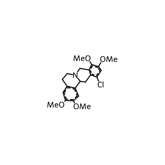 COc1cc2c(cc1OC)C1Cc3c(Cl)cc(OC)c(OC)c3CN1CC2